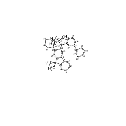 CC1(C)c2ccccc2-c2cc(N(c3cccc(-c4ccccc4)c3)C(C)(C)C)c(C3CCCCC3)cc21